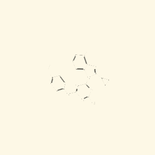 COc1ccc(Nc2nc(N)nc(-n3c(C4CC4)nc4c(F)cccc43)n2)cc1